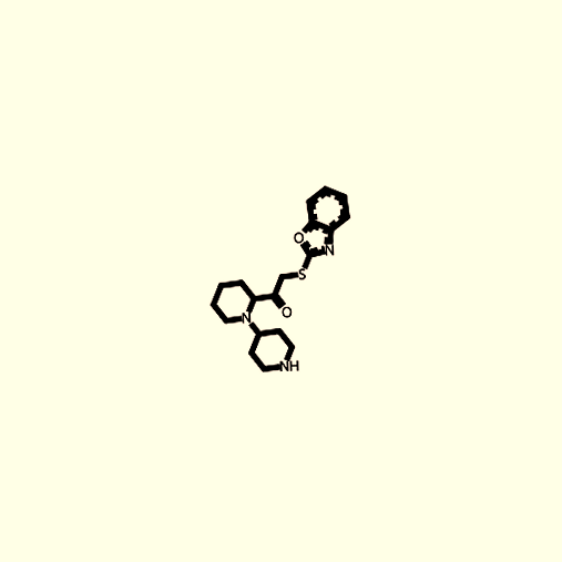 O=C(CSc1nc2ccccc2o1)C1CCCCN1C1CCNCC1